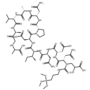 CC[C@H](C)[C@H](NC(=O)[C@H](CC(N)=O)NC(=O)[C@H](CC(=O)O)NC(=O)[C@H](CC(N)=O)N(CC(N)C(=O)O)C(=O)NCCC[Si](OC)(OC)OC)C(=O)N[C@@H](CC(=O)O)C(=O)N1CCC[C@H]1C(=O)N[C@@H](CC(N)=O)C(=O)N[C@@H](C)C(=O)N[C@H](C(=O)N[C@@H](C)C(=O)CNC(C)C(=O)O)C(C)C